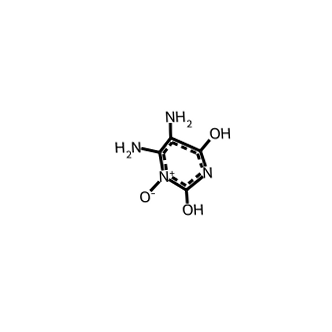 Nc1c(O)nc(O)[n+]([O-])c1N